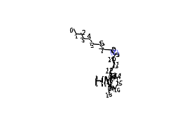 CCCCCCCC/C=C\CCC[C@H]1CCC[C@@H](C)N1